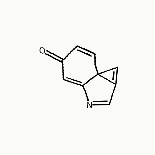 O=C1C=CC23C=C2C=NC3=C1